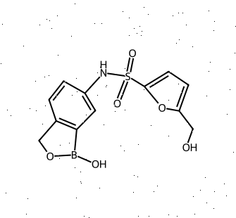 O=S(=O)(Nc1ccc2c(c1)B(O)OC2)c1ccc(CO)o1